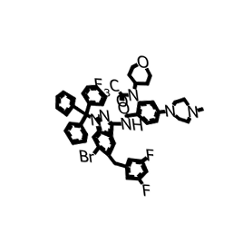 CN1CCN(c2ccc(C(=O)Nc3nn(C(c4ccccc4)(c4ccccc4)c4ccccc4)c4cc(Br)c(Cc5cc(F)cc(F)c5)cc34)c(N(C(=O)C(F)(F)F)C3CCOCC3)c2)CC1